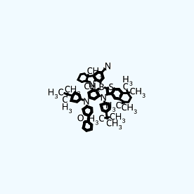 CC(C)(C)c1ccc(N(c2cc3c4c(c2)N2c5c(cc(C#N)cc5C5(C)CCCCC25C)B4c2sc4cc5c(cc4c2N3c2ccc(C(C)(C)C)cc2)C(C)(C)CCC5(C)C)c2ccc3c(c2)oc2ccccc23)cc1